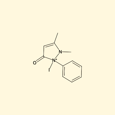 CC1=CC(=O)[N+](I)(c2ccccc2)N1C